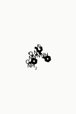 COc1nc2c(C(N)=O)cccc2n1-c1nc(NCc2ccccc2)c2c(n1)C(C)N(C)CC2